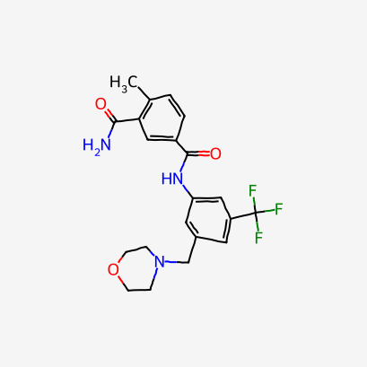 Cc1ccc(C(=O)Nc2cc(CN3CCOCC3)cc(C(F)(F)F)c2)cc1C(N)=O